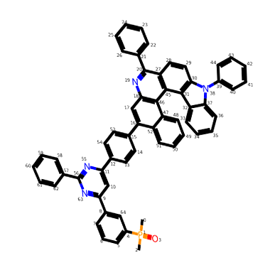 CP(C)(=O)c1cccc(-c2cc(-c3ccc(-c4cc5nc(-c6ccccc6)c6ccc7c(c8ccccc8n7-c7ccccc7)c6c5c5ccccc45)cc3)nc(-c3ccccc3)n2)c1